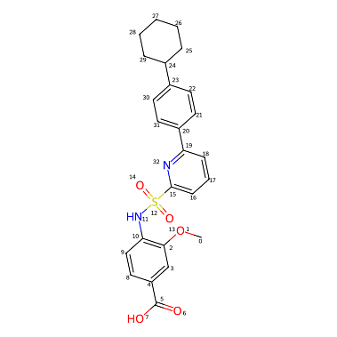 COc1cc(C(=O)O)ccc1NS(=O)(=O)c1cccc(-c2ccc(C3CCCCC3)cc2)n1